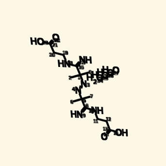 CC(C)(N=NC(C)(C)C(=N)NCCC(=O)O)C(=N)NCCC(=O)O.O.O.O.O